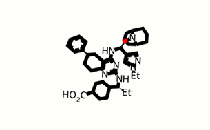 CC[C@@H](Nc1nc2c(c(N[C@@H](CN3C4CCCC3CCC4)c3cnn(CC)c3)n1)C[C@H](c1ccccc1)CC2)C1CCC(C(=O)O)CC1